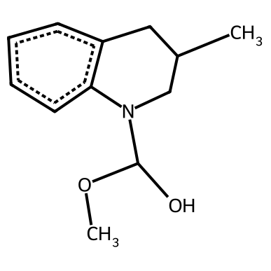 COC(O)N1CC(C)Cc2ccccc21